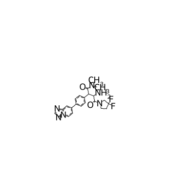 CN(C)C(=O)C(c1ccc(-c2ccn3ncnc3c2)cc1)C(N)C(=O)N1CCC(F)(F)C1